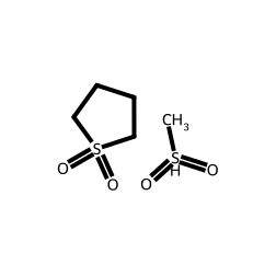 C[SH](=O)=O.O=S1(=O)CCCC1